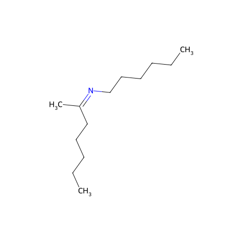 CCCCCCN=C(C)CCCCC